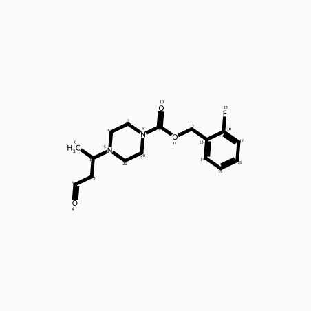 CC(C[C]=O)N1CCN(C(=O)OCc2ccccc2F)CC1